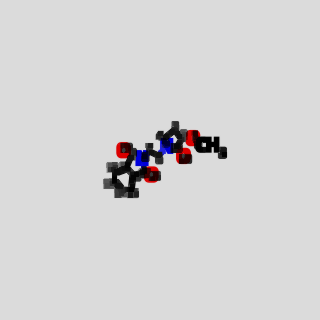 COC1CCN(CCN2C(=O)c3ccccc3C2=O)C1=O